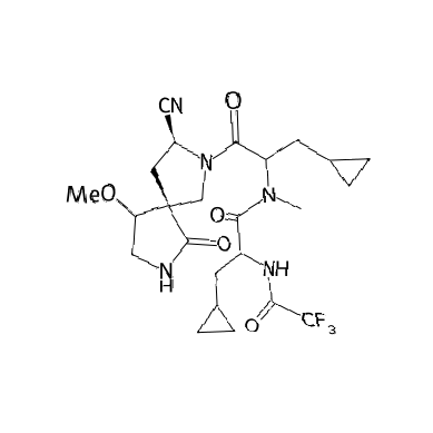 COC1CNC(=O)[C@]12C[C@@H](C#N)N(C(=O)C(CC1CC1)N(C)C(=O)C(CC1CC1)NC(=O)C(F)(F)F)C2